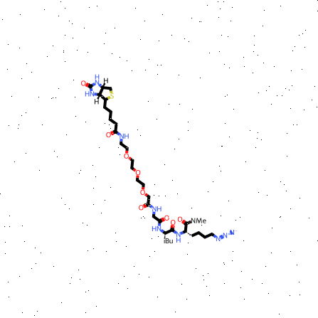 CCC(C)[C@H](NC(=O)CNC(=O)COCCOCCOCCNC(=O)CCCCC1SC[C@H]2NC(=O)N[C@@H]12)C(=O)N[C@@H](CCCCN=[N+]=[N-])C(=O)NC